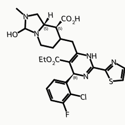 CCOC(=O)C1=C(CC2CCN3C(O)N(C)C[C@@H]3[C@H]2C(=O)O)NC(c2nccs2)=N[C@H]1c1cccc(F)c1Cl